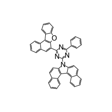 c1ccc(-c2nc(-c3cc4ccccc4c4c3oc3ccccc34)nc(-n3c4ccc5ccccc5c4c4c5ccccc5ccc43)n2)cc1